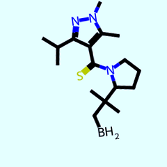 BCC(C)(C)C1CCCN1C(=S)c1c(C(C)C)nn(C)c1C